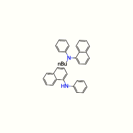 CCCCN(c1ccccc1)c1cccc2ccccc12.c1ccc(Nc2cccc3ccccc23)cc1